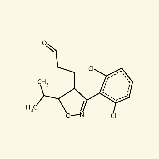 CC(C)C1ON=C(c2c(Cl)cccc2Cl)C1CCC=O